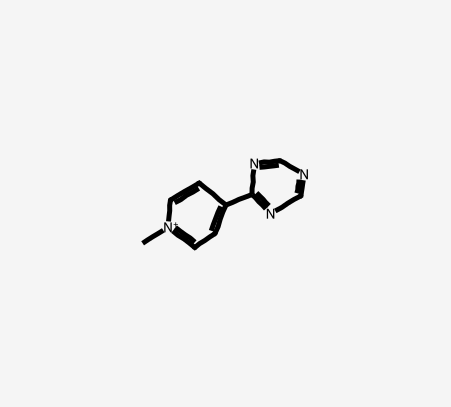 C[n+]1ccc(-c2ncncn2)cc1